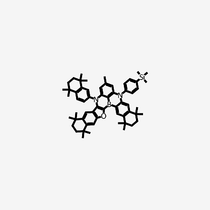 Cc1cc2c3c(c1)N(c1ccc4c(c1)C(C)(C)CCC4(C)C)c1c(oc4cc5c(cc14)C(C)(C)CCC5(C)C)B3c1cc3c(cc1N2c1ccc([Si](C)(C)C)cc1)C(C)(C)CCC3(C)C